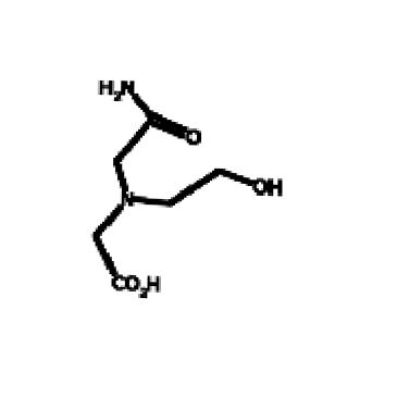 NC(=O)CN(CCO)CC(=O)O